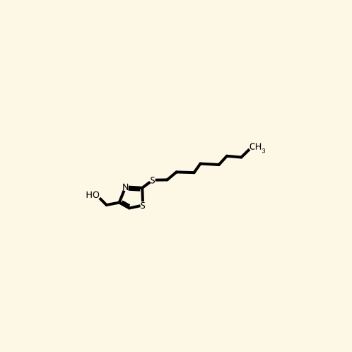 CCCCCCCCSc1nc(CO)cs1